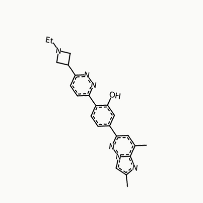 CCN1CC(c2ccc(-c3ccc(-c4cc(C)c5nc(C)cn5n4)cc3O)nn2)C1